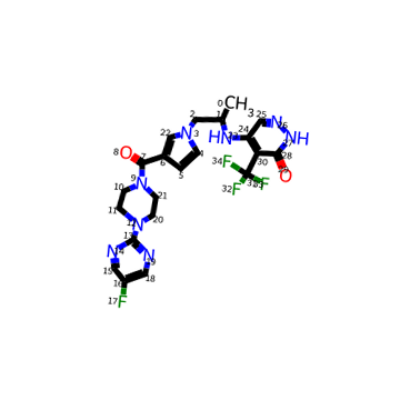 CC(Cn1ccc(C(=O)N2CCN(c3ncc(F)cn3)CC2)c1)Nc1cn[nH]c(=O)c1C(F)(F)F